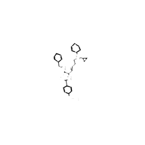 CC(C)(C)c1ccc(C(=O)NC(CCCCN(c2ccccc2)C2CC2)C(=O)NCc2ccccc2)cc1